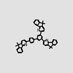 CC1(C)c2ccccc2-c2nc(-c3ccc(-c4cc(-c5ccc6c(n5)-c5ccccc5C6(C)C)cc(-c5ccc6c(n5)-c5ccccc5C6(C)C)c4)cc3)ccc21